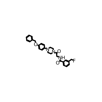 O=C(NCC(=O)N1CCN(c2ccc(OCc3ccccc3)cc2)CC1)c1cccc(CF)c1